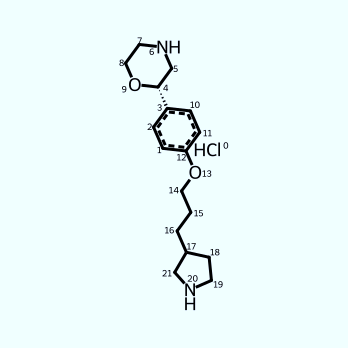 Cl.c1cc([C@H]2CNCCO2)ccc1OCCCC1CCNC1